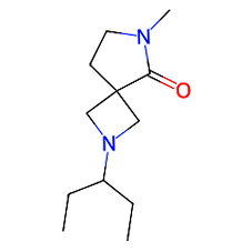 CCC(CC)N1CC2(CCN(C)C2=O)C1